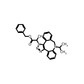 CC(C)N1Cc2ccccc2-c2c(nnn2C(C)C(=O)OCc2ccccc2)-c2ccccc21